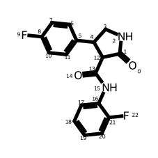 O=C1NCC(c2ccc(F)cc2)C1C(=O)Nc1ccccc1F